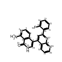 Nc1nccc2c(-c3cc(-c4ccccc4F)nc4ncccc34)c[nH]c(=O)c12